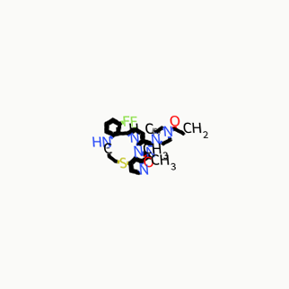 C=CC(=O)N1CCN(c2nc(=O)n3c4nc(c(F)cc24)-c2c(F)cccc2NCCCSc2ccnc(C(C)C)c2-3)[C@H](C)C1